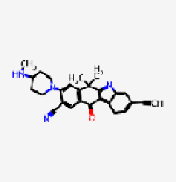 C#CC1=CCC2=C3C(=O)c4cc(C#N)c(N5CCC(NC)CC5)cc4C(C)(C)C3=NC2=C1